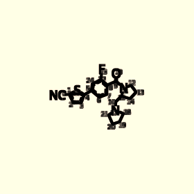 N#Cc1ccc(-c2ccc(C(=O)N3CCCC3CN3CCCC3)c(F)c2)s1